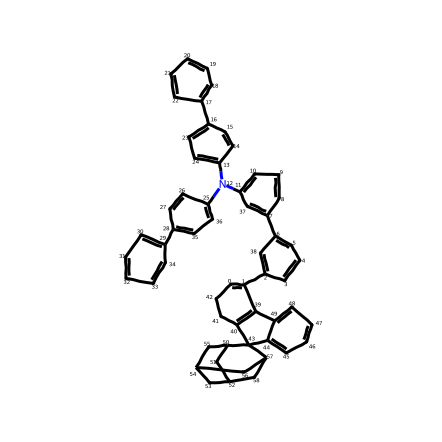 C1=C(c2cccc(-c3cccc(N(c4ccc(-c5ccccc5)cc4)c4ccc(-c5ccccc5)cc4)c3)c2)C2=C(CC1)C1(c3ccccc32)C2CC3CC(C2)CC1C3